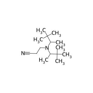 CC(N(CCC#N)C(C)C(C)(C)C)C(C)(C)C